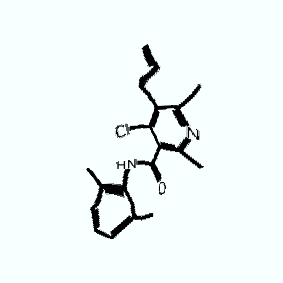 C=CCc1c(C)nc(C)c(C(=O)Nc2c(C)cccc2C)c1Cl